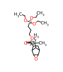 CCO[Si](CCCOC(=O)C1CC2C3OC3C1C2[Si](C)(C)C)(OCC)OCC